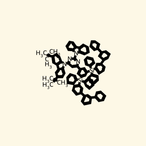 CC(C)(C)c1ccc2c(c1)c1cc(C(C)(C)C)ccc1n2-c1cc(-c2cc([Si](c3ccccc3)(c3ccccc3)c3cccc(-c4cccc(-c5ccccc5)c4)c3)cc([Si](c3ccccc3)(c3ccccc3)c3cccc(-c4cccc(-c5ccccc5)c4)c3)c2)nc(-n2c3ccccc3c3ccccc32)n1